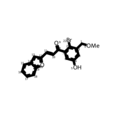 COCc1cc(O)cc(C(=O)/C=C/c2cc3ccccc3o2)c1Br